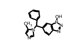 Cc1cncn1C(c1ccccc1)c1ccc2nnn(O)c2c1